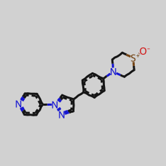 [O-][S+]1CCN(c2ccc(-c3cnn(-c4ccncc4)c3)cc2)CC1